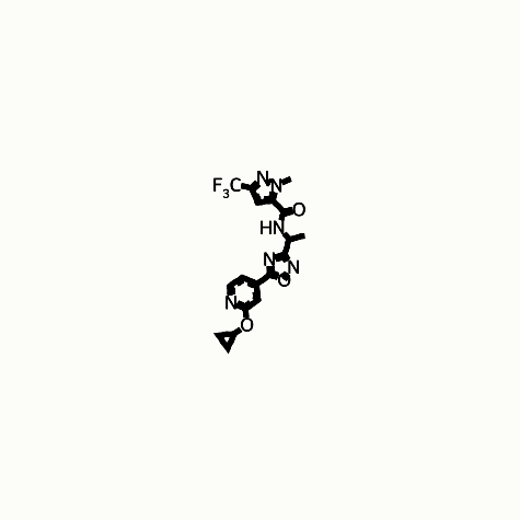 CC(NC(=O)c1cc(C(F)(F)F)nn1C)c1noc(-c2ccnc(OC3CC3)c2)n1